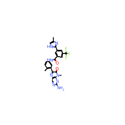 Cc1c[nH]c(-c2cc(C(=O)Nc3ccc(C)c(-c4nc5cnc(N)nc5n(C)c4=O)c3)cc(C(F)(F)F)c2)n1